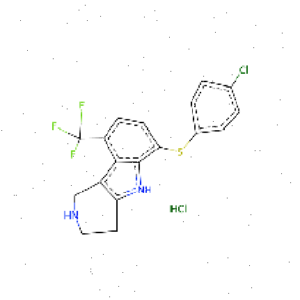 Cl.FC(F)(F)c1ccc(Sc2ccc(Cl)cc2)c2[nH]c3c(c12)CNCC3